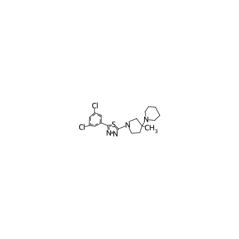 CC1(N2CCCCC2)CCN(c2nnc(-c3cc(Cl)cc(Cl)c3)s2)CC1